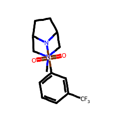 CN1CC2CCC(C1)N2S(=O)(=O)c1cccc(C(F)(F)F)c1